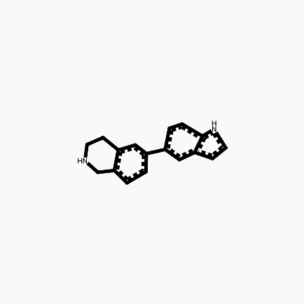 c1cc2cc(-c3ccc4c(c3)CCNC4)ccc2[nH]1